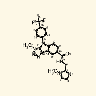 Cn1ccnc1CNC(=O)c1ccc2c(c1)c1nnn(C)c1n2-c1ccc(C(F)(F)F)cc1